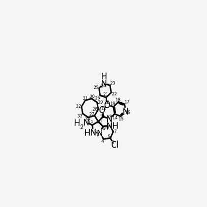 NC1NN2CC(Cl)CNC2C1(C(=O)Nc1cnccc1OC1CCNCC1)C1CCCCCCC1